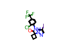 O=C(Nc1ccc(C(F)(F)F)cc1Cl)C1(n2cc(I)cn2)CCC1